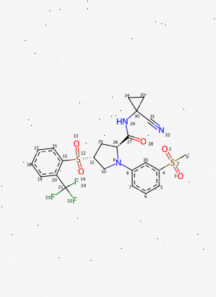 CS(=O)(=O)c1cccc(N2C[C@H](S(=O)(=O)c3ccccc3C(F)(F)F)C[C@H]2C(=O)NC2(C#N)CC2)c1